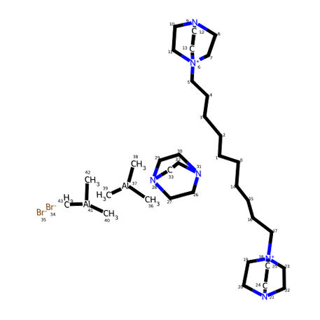 C(CCCCC[N+]12CCN(CC1)CC2)CCCC[N+]12CCN(CC1)CC2.C1CN2CCN1CC2.[Br-].[Br-].[CH3][Al]([CH3])[CH3].[CH3][Al]([CH3])[CH3]